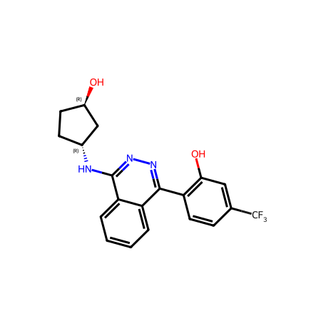 Oc1cc(C(F)(F)F)ccc1-c1nnc(N[C@@H]2CC[C@@H](O)C2)c2ccccc12